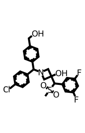 CS(=O)(=O)C(c1cc(F)cc(F)c1)C1(O)CN(C(c2ccc(Cl)cc2)c2ccc(CO)cc2)C1